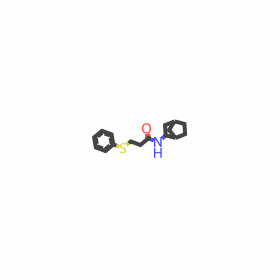 O=C(CCSc1ccccc1)NC1CC2CCC1C2